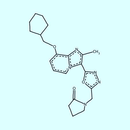 Cc1nc2c(OCC3CCCCC3)cccn2c1-c1nnc(CN2CCCC2=O)o1